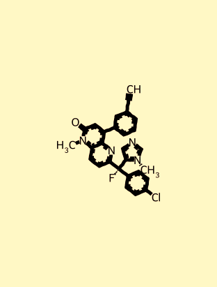 C#Cc1cccc(-c2cc(=O)n(C)c3ccc([C@](F)(c4ccc(Cl)cc4)c4cncn4C)nc23)c1